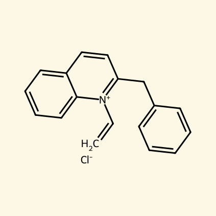 C=C[n+]1c(Cc2ccccc2)ccc2ccccc21.[Cl-]